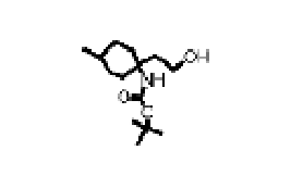 CC1CCC(CCO)(NC(=O)OC(C)(C)C)CC1